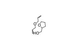 C=CCOCC=C.OCC1CCCO1